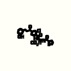 O=C(CCc1cccc(O)c1)c1ccc(C(=O)NC(CNC(=O)c2cccs2)C(=O)O)c(Cl)c1